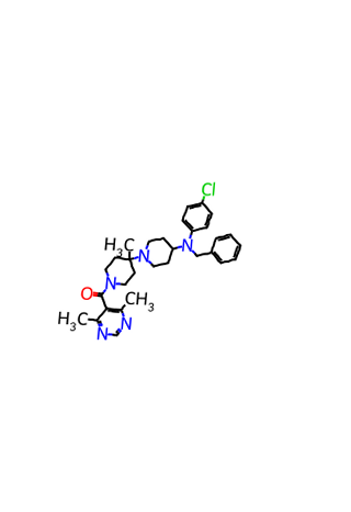 Cc1ncnc(C)c1C(=O)N1CCC(C)(N2CCC(N(Cc3ccccc3)c3ccc(Cl)cc3)CC2)CC1